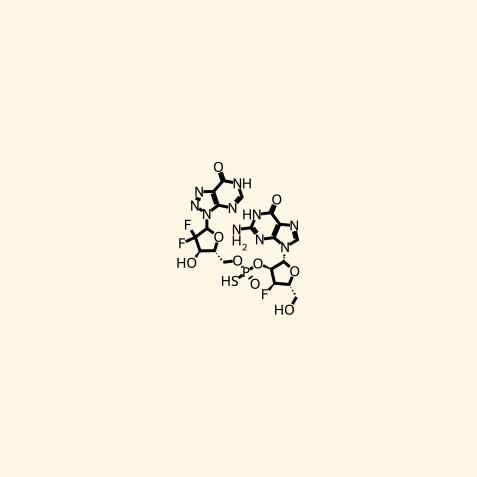 Nc1nc2c(ncn2[C@@H]2O[C@H](CO)[C@@H](F)[C@H]2OP(=O)(S)OC[C@H]2OC(n3nnc4c(=O)[nH]cnc43)C(F)(F)[C@@H]2O)c(=O)[nH]1